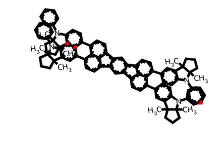 CC12CCCC1(C)N(c1ccccc1)c1ccc(-c3ccc4c5cc6c(cc5c5ccc(-c7ccc8c(c7)C7(C)CCCC7(C)N8c7ccccc7)c3c45)c3ccc(-c4ccc5c(c4)C4(C)CCCC4(C)N5c4ccccc4)c4c(-c5ccc7c(c5)C5(C)CCCC5(C)N7c5ccccc5)ccc6c43)cc12